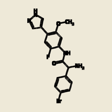 COc1cc(NC(=O)C(N)c2ccc(Br)cc2)c(F)cc1-c1cn[nH]c1